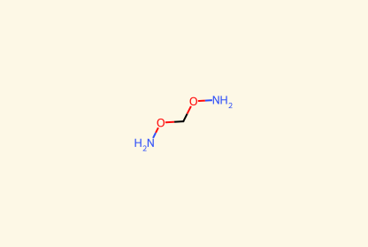 NOCON